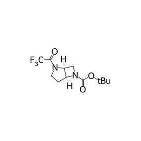 CC(C)(C)OC(=O)N1C[C@H]2[C@@H]1CCN2C(=O)C(F)(F)F